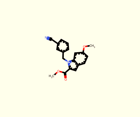 COC(=O)c1cc2ccc(OC)cc2n1Cc1cccc(C#N)c1